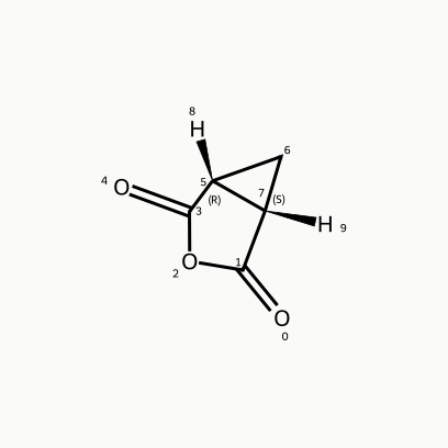 O=C1OC(=O)[C@@H]2C[C@H]12